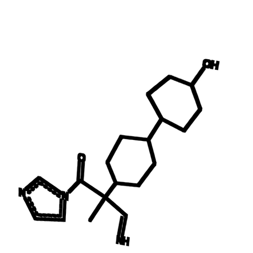 CC(C=N)(C(=O)n1ccnc1)C1CCC(C2CCC(O)CC2)CC1